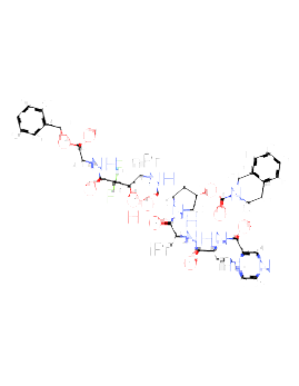 CCC[C@H](NC(=O)[C@@H]1C[C@@H](OC(=O)N2CCc3ccccc3C2)CN1C(=O)[C@@H](NC(=O)[C@@H](NC(=O)c1cnccn1)C(C)C)C(C)C)C(O)C(F)(F)C(=O)NCC(=O)OCc1ccccc1